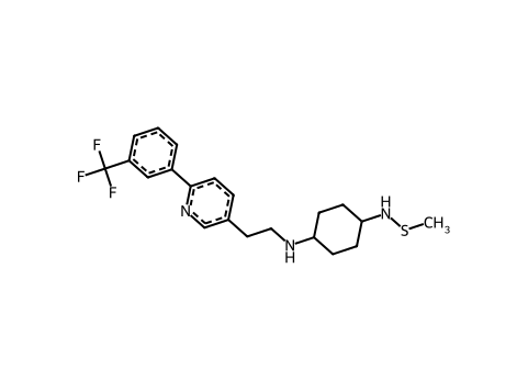 CSNC1CCC(NCCc2ccc(-c3cccc(C(F)(F)F)c3)nc2)CC1